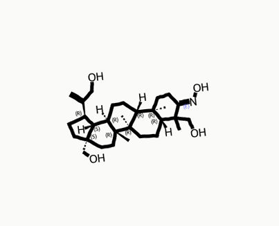 C=C(CO)[C@@H]1CC[C@]2(CO)CC[C@]3(C)[C@H](CC[C@@H]4[C@@]5(C)CC/C(=N\O)C(C)(CO)[C@@H]5CC[C@]43C)[C@@H]12